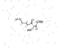 COC(=O)C(C#N)C(=O)CCCCCl